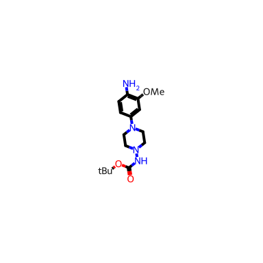 COc1cc(N2CCN(NC(=O)OC(C)(C)C)CC2)ccc1N